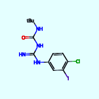 CC(C)(C)NC(=O)NC(=N)Nc1ccc(Cl)c(I)c1